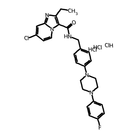 CCc1nc2cc(Cl)ccn2c1C(=O)NCc1ccc(N2CCN(c3ccc(F)cc3)CC2)cc1.Cl.Cl.Cl